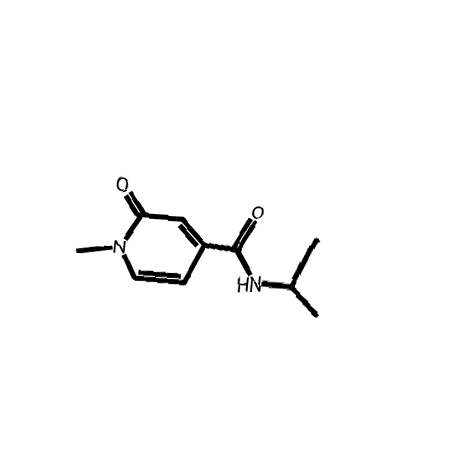 CC(C)NC(=O)c1ccn(C)c(=O)c1